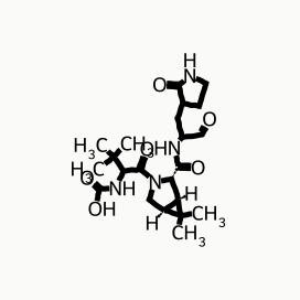 CC(C)(C)C(NC(=O)O)C(=O)N1C[C@H]2[C@@H]([C@H]1C(=O)NC(C=O)CC1CCNC1=O)C2(C)C